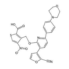 N#Cc1occc1-c1ccc(-c2ccc(N3CCOCC3)cc2)nc1OCc1c([N+](=O)[O-])csc1C(=O)O